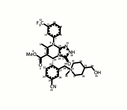 COC(=O)C1=C(C)N(c2cccc(C(F)(F)F)c2)c2n[nH]c(=O)n2[C@@H]1c1ccc(C#N)cc1C[N+]1(C)CCC(CO)CC1